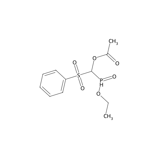 CCO[PH](=O)C(OC(C)=O)S(=O)(=O)c1ccccc1